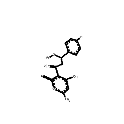 C=C(CC(SCCC)c1ccc(Cl)cc1)c1c(O)cc(C)oc1=O